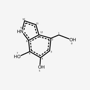 OCc1cc(O)c(O)c2[nH]ccc12